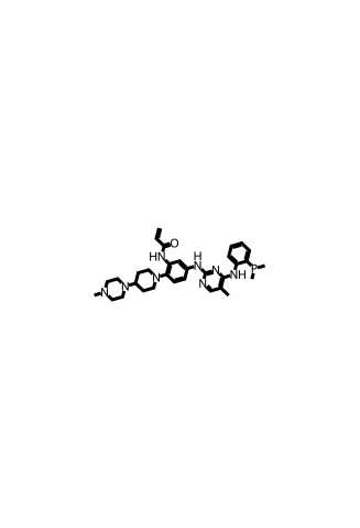 C=CC(=O)Nc1cc(Nc2ncc(C)c(Nc3ccccc3P(C)C)n2)ccc1N1CCC(N2CCN(C)CC2)CC1